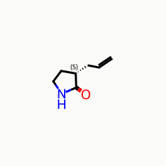 C=CC[C@H]1CCNC1=O